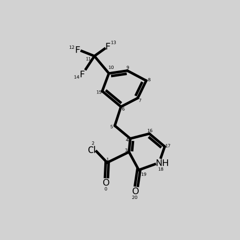 O=C(Cl)c1c(Cc2cccc(C(F)(F)F)c2)cc[nH]c1=O